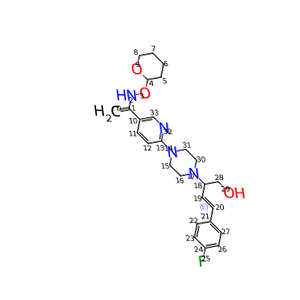 C=C(NOC1CCCCO1)c1ccc(N2CCN(C(/C=C/c3ccc(F)cc3)CO)CC2)nc1